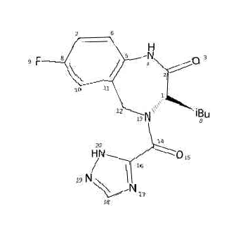 CC[C@H](C)[C@H]1C(=O)Nc2ccc(F)cc2CN1C(=O)c1ncn[nH]1